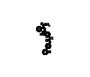 NC(=O)/C(=C/c1c[nH]c2nc(NC(=O)Cc3ccc(N4CCCCC4=O)cc3)ccc12)c1ccccc1